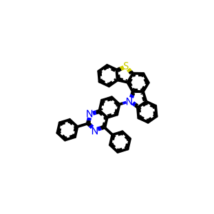 c1ccc(-c2nc(-c3ccccc3)c3cc(-n4c5ccccc5c5ccc6sc7ccccc7c6c54)ccc3n2)cc1